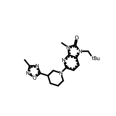 Cc1noc(C2CCCN(c3ccc4c(n3)n(C)c(=O)n4CC(C)(C)C)C2)n1